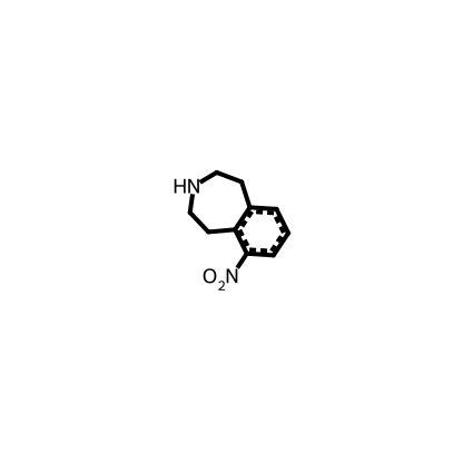 O=[N+]([O-])c1cccc2c1CCNCC2